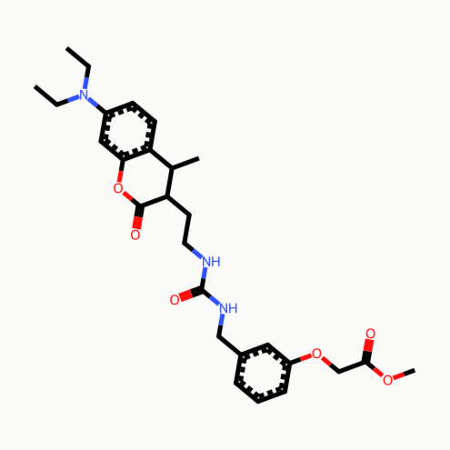 CCN(CC)c1ccc2c(c1)OC(=O)C(CCNC(=O)NCc1cccc(OCC(=O)OC)c1)C2C